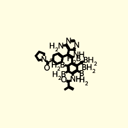 Bc1c(B)c(-c2[nH]c3ncnc(N)c3c2C2=CC[C@H](C(=O)N3CCCC3)CC2)c(C(B)(B)B)c(B)c1NC(=O)C(=C)C